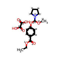 CCOC(=O)c1ccc(OC(OC)N2CCCC2)cc1.O=C(O)C(=O)O